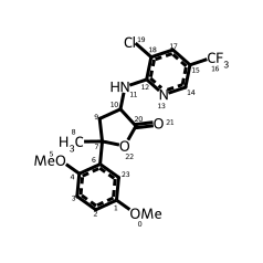 COc1ccc(OC)c(C2(C)CC(Nc3ncc(C(F)(F)F)cc3Cl)C(=O)O2)c1